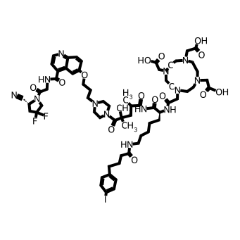 CC(CC(C)(C)C(=O)N1CCN(CCCOc2ccc3nccc(C(=O)NCC(=O)N4CC(F)(F)C[C@@H]4C#N)c3c2)CC1)C(=O)NC(=O)[C@H](CCCCCNC(=O)CCCc1ccc(I)cc1)NC(=O)CN1CCN(CC(=O)O)CCN(CC(=O)O)CCN(CC(=O)O)CC1